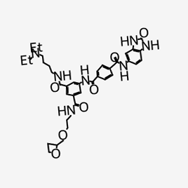 CCN(CC)CCCCNC(=O)c1cc(NC(=O)c2ccc(C(=O)Nc3ccc4[nH]c(=O)[nH]c4c3)cc2)cc(C(=O)NCCCOCC2CCO2)c1